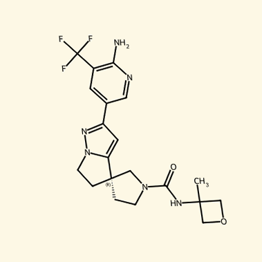 CC1(NC(=O)N2CC[C@@]3(CCn4nc(-c5cnc(N)c(C(F)(F)F)c5)cc43)C2)COC1